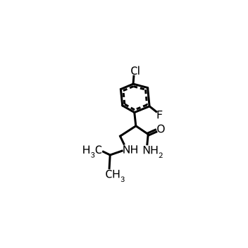 CC(C)NCC(C(N)=O)c1ccc(Cl)cc1F